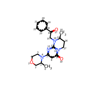 CC1COCCN1c1cc(=O)n2c(n1)N(CC(=O)c1ccccc1)C(C(F)(F)F)CC2